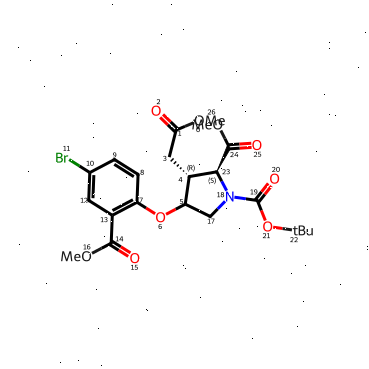 COC(=O)C[C@H]1C(Oc2ccc(Br)cc2C(=O)OC)CN(C(=O)OC(C)(C)C)[C@@H]1C(=O)OC